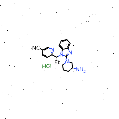 CC[C@H](c1ccc(C#N)cn1)n1c(N2CCC[C@H](N)C2)nc2ccccc21.Cl